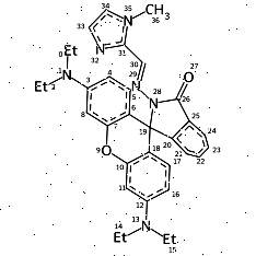 CCN(CC)c1ccc2c(c1)Oc1cc(N(CC)CC)ccc1C21c2ccccc2C(=O)N1/N=C/c1nccn1C